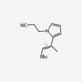 C/C(=C\C(C)(C)C)c1cccn1CCC#N